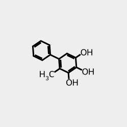 Cc1c(-c2ccccc2)cc(O)c(O)c1O